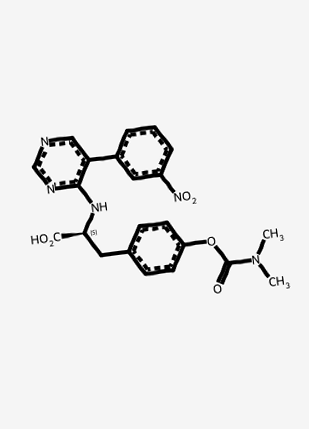 CN(C)C(=O)Oc1ccc(C[C@H](Nc2ncncc2-c2cccc([N+](=O)[O-])c2)C(=O)O)cc1